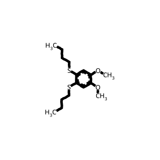 CCCCSc1cc(OC)c(OC)cc1SCCCC